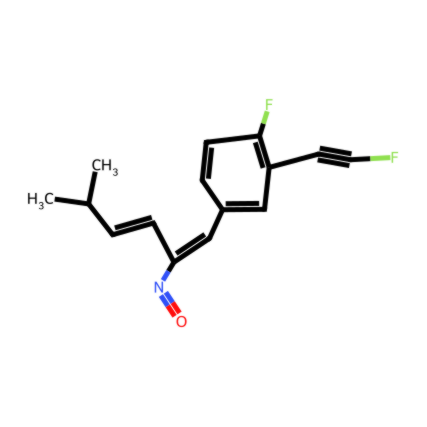 CC(C)/C=C/C(=C\c1ccc(F)c(C#CF)c1)N=O